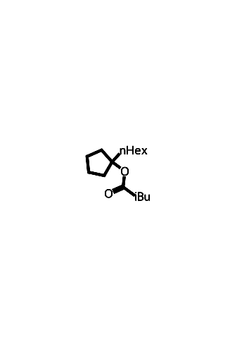 CCCCCCC1(OC(=O)C(C)CC)CCCC1